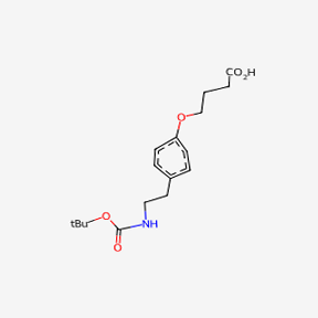 CC(C)(C)OC(=O)NCCc1ccc(OCCCC(=O)O)cc1